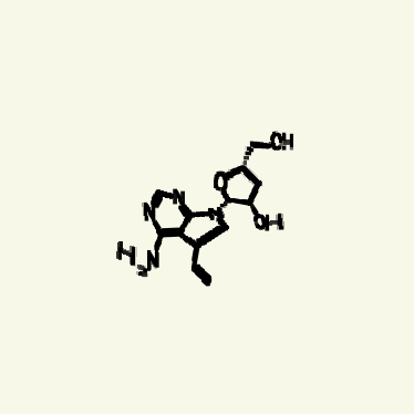 C=Cc1cn([C@@H]2O[C@H](CO)C[C@H]2O)c2ncnc(N)c12